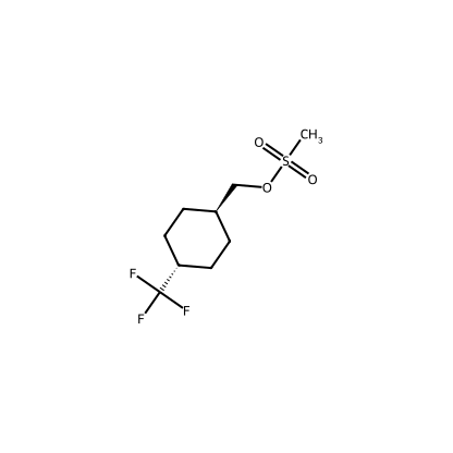 CS(=O)(=O)OC[C@H]1CC[C@H](C(F)(F)F)CC1